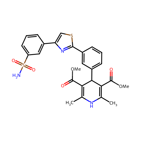 COC(=O)C1=C(C)NC(C)=C(C(=O)OC)C1c1cccc(-c2nc(-c3cccc(S(N)(=O)=O)c3)cs2)c1